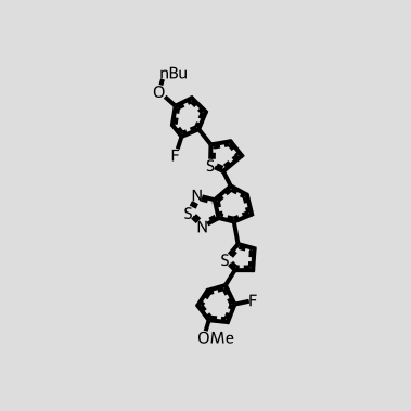 CCCCOc1ccc(-c2ccc(-c3ccc(-c4ccc(-c5ccc(OC)cc5F)s4)c4nsnc34)s2)c(F)c1